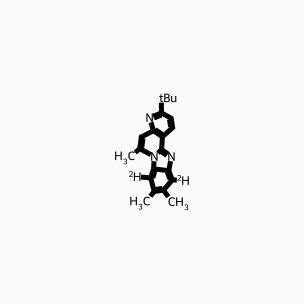 [2H]c1c(C)c(C)c([2H])c2c1nc1c3ccc(C(C)(C)C)nc3cc(C)n12